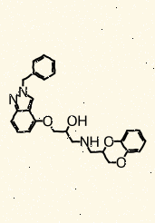 OC(CNCC1COc2ccccc2O1)COc1cccc2nn(Cc3ccccc3)cc12